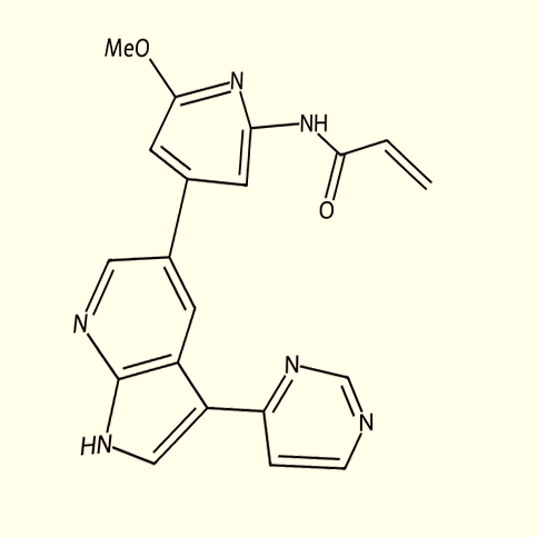 C=CC(=O)Nc1cc(-c2cnc3[nH]cc(-c4ccncn4)c3c2)cc(OC)n1